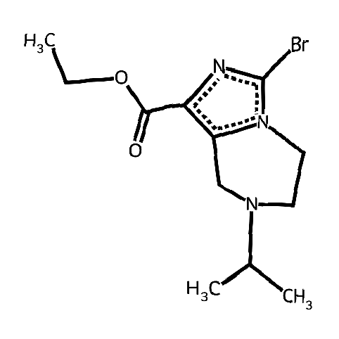 CCOC(=O)c1nc(Br)n2c1CN(C(C)C)CC2